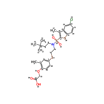 Cc1cc(SCCN(CCC(C)(C)C)S(=O)(=O)c2sc3ccc(Cl)cc3c2C)ccc1OCC(=O)O